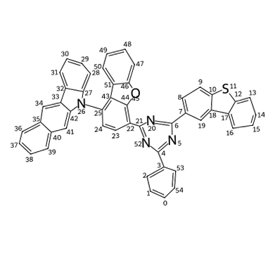 c1ccc(-c2nc(-c3ccc4sc5ccccc5c4c3)nc(-c3ccc(-n4c5ccccc5c5cc6ccccc6cc54)c4c3oc3ccccc34)n2)cc1